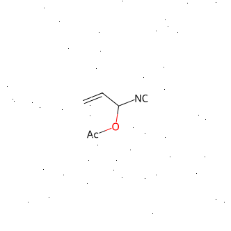 [C-]#[N+]C(C=C)OC(C)=O